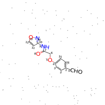 O=Cc1ccc(OCC(=O)Nc2ccon2)cc1